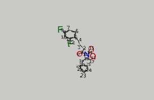 O=C(CCCc1ccc(F)cc1F)N1C(=O)OCC1Cc1ccccc1